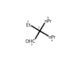 CCCC(C=O)(CC)CCC